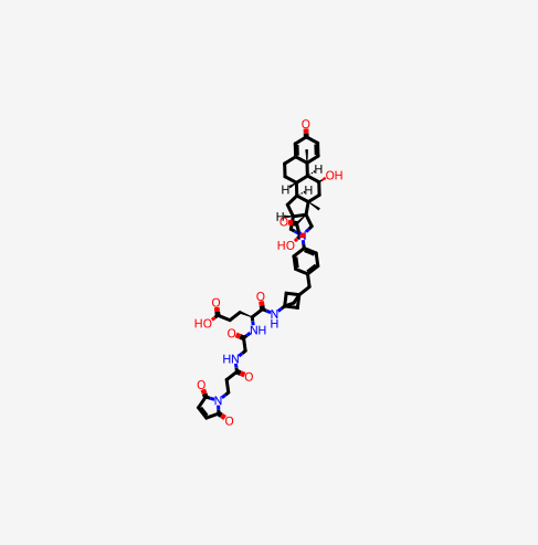 C[C@]12C=CC(=O)C=C1CC[C@@H]1[C@@H]2[C@@H](O)C[C@@]2(C)[C@H]1C[C@H]1CN(c3ccc(CC45CC(NC(=O)[C@H](CCC(=O)O)NC(=O)CNC(=O)CCN6C(=O)C=CC6=O)(C4)C5)cc3)C[C@]12C(=O)CO